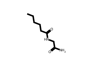 CCCCCC(=O)NCC(N)=O